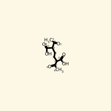 CC(=O)C(CCC(C(C)=O)C(=O)O)C(=O)O